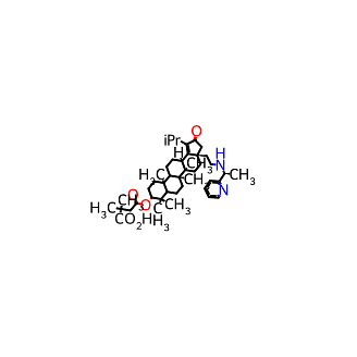 CC(C)C1=C2[C@H]3CCC4[C@@]5(C)CC[C@H](OC(=O)CC(C)(C)C(=O)O)C(C)(C)C5CC[C@@]4(C)[C@]3(C)CC[C@@]2(CCN[C@@H](C)c2ccccn2)CC1=O